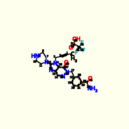 CC#CCn1c(N2CCNCC2)nc2cnn(Cc3cccc(C(N)=O)c3)c(=O)c21.O=C(O)C(F)(F)F